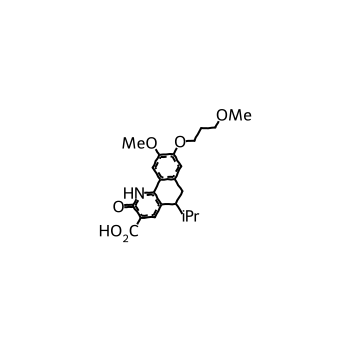 COCCCOc1cc2c(cc1OC)-c1[nH]c(=O)c(C(=O)O)cc1C(C(C)C)C2